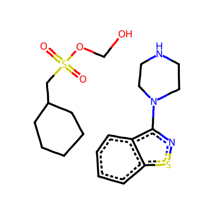 O=S(=O)(CC1CCCCC1)OCO.c1ccc2c(N3CCNCC3)nsc2c1